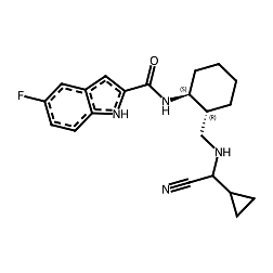 N#CC(NC[C@H]1CCCC[C@@H]1NC(=O)c1cc2cc(F)ccc2[nH]1)C1CC1